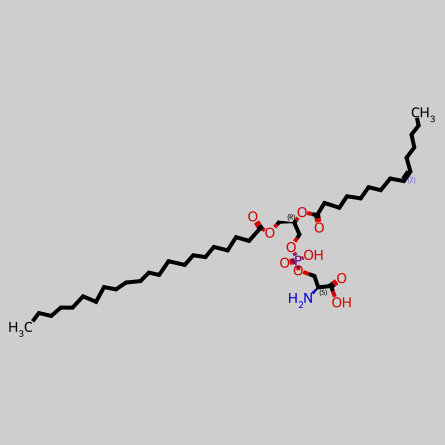 CCCCC/C=C\CCCCCCCC(=O)O[C@H](COC(=O)CCCCCCCCCCCCCCCCCCCCC)COP(=O)(O)OC[C@H](N)C(=O)O